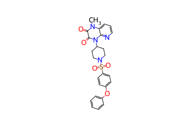 Cn1c(=O)c(=O)n(C2CCN(S(=O)(=O)c3ccc(Oc4ccccc4)cc3)CC2)c2ncccc21